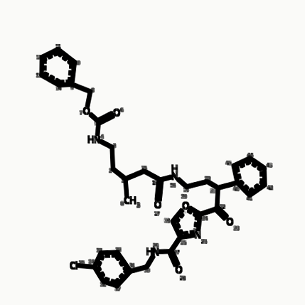 CC(CCNC(=O)OCc1ccccc1)CC(=O)NCCC(C(=O)c1nc(C(=O)NCc2ccc(Cl)cc2)co1)c1ccccc1